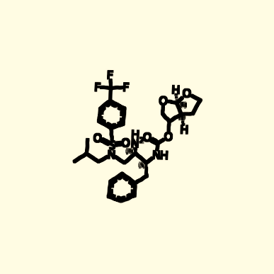 CC(C)CN(C[C@@H](N)[C@H](Cc1ccccc1)NC(=O)OC1CO[C@H]2OCC[C@@H]12)S(=O)(=O)c1ccc(C(F)(F)F)cc1